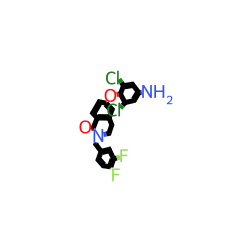 NC1=CC(Cl)C(Oc2ccc3c(c2)CCN(Cc2ccc(F)c(F)c2)C3=O)C(Cl)=C1